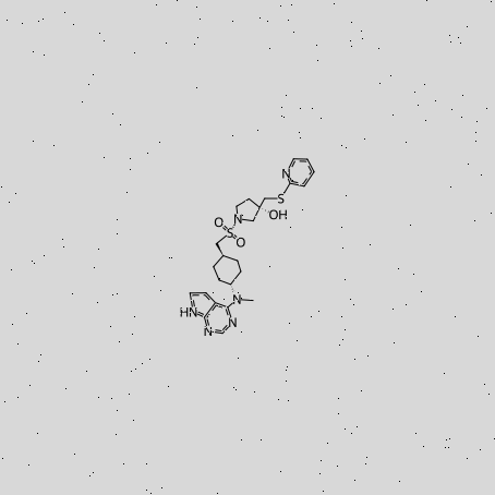 CN(c1ncnc2[nH]ccc12)[C@H]1CC[C@H](CS(=O)(=O)N2CC[C@@](O)(CSc3ccccn3)C2)CC1